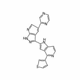 c1cnc(-c2cnc3[nH]nc(-c4cc5c(-c6ccsc6)nccc5[nH]4)c3c2)cn1